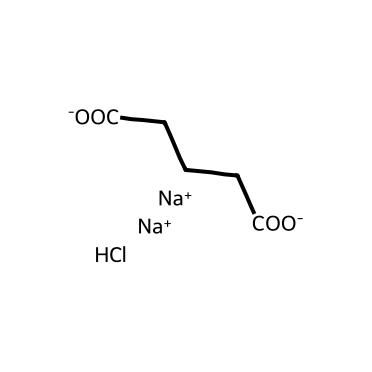 Cl.O=C([O-])CCCC(=O)[O-].[Na+].[Na+]